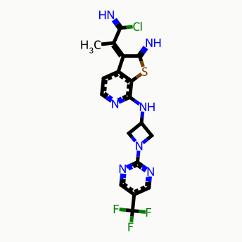 C/C(C(=N)Cl)=C1/C(=N)Sc2c1ccnc2NC1CN(c2ncc(C(F)(F)F)cn2)C1